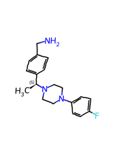 C[C@@H](c1ccc(CN)cc1)N1CCN(c2ccc(F)cc2)CC1